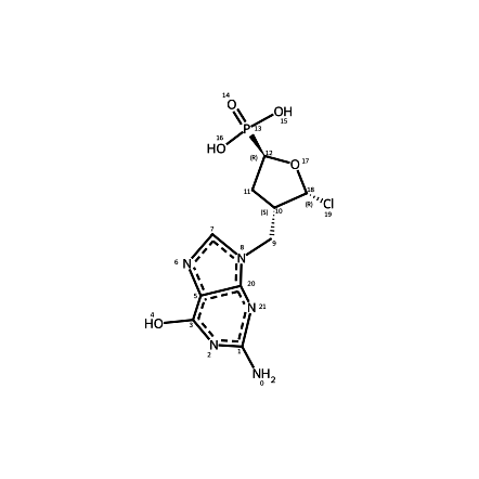 Nc1nc(O)c2ncn(C[C@@H]3C[C@@H](P(=O)(O)O)O[C@@H]3Cl)c2n1